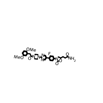 COc1ccc(OC)c(CC(=O)N2CCN(c3ncc(-c4ccc(N5CC(CCC(N)=O)OC5=O)cc4F)cn3)CC2)c1